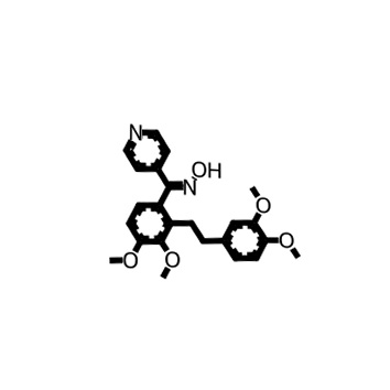 COc1ccc(CCc2c(C(=NO)c3ccncc3)ccc(OC)c2OC)cc1OC